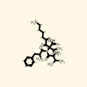 CC(C)C(N)C(=O)N(C(=O)C(N)Cc1ccccc1)C(C(=O)O)(C(=O)C(N)CCCCN)C(C)C